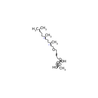 CC(C)=CCC/C(C)=C/CC/C(C)=C/COCC#CCOP(=O)(O)OP(C)(=O)O